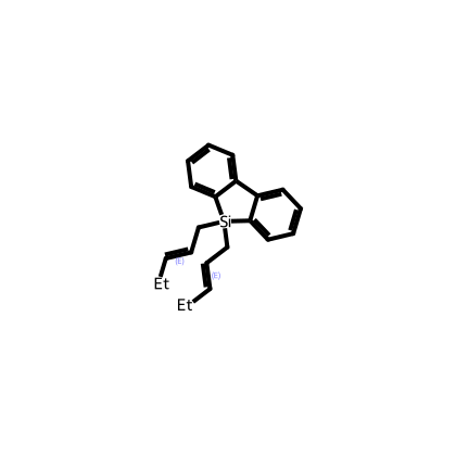 CC/C=C/C[Si]1(C/C=C/CC)c2ccccc2-c2ccccc21